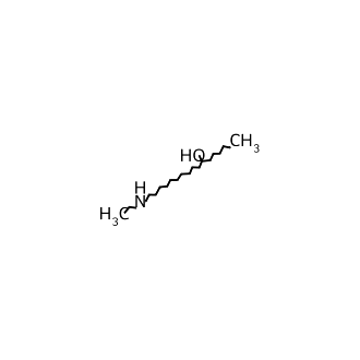 CCCCCCC(O)CCCCCCCCCCCNCCC